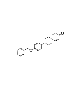 O=C1C=CC2(CC1)CCC(c1ccc(OCc3ccccc3)cc1)CC2